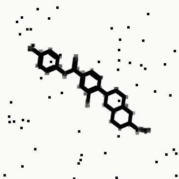 CCCCCCCC1CCC2CC(c3ccc(C(=O)Oc4ccc(CC)cc4)cc3F)CCC2C1